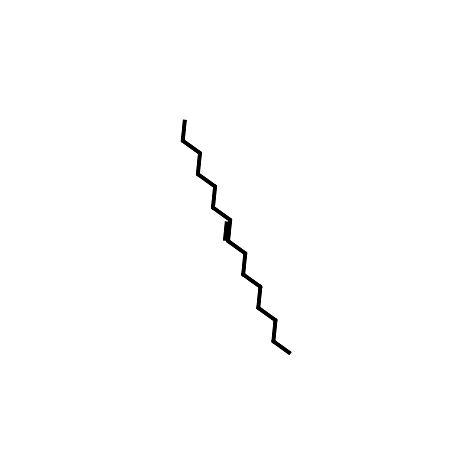 CCCCCC/C=C/CCCCCCC